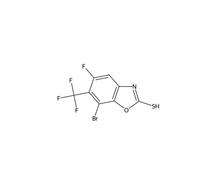 Fc1cc2nc(S)oc2c(Br)c1C(F)(F)F